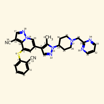 Cc1c(-c2cc(Sc3ccccc3C#N)c3c(C#N)cnn3c2)cnn1C1CCN(Cc2ncccn2)CC1